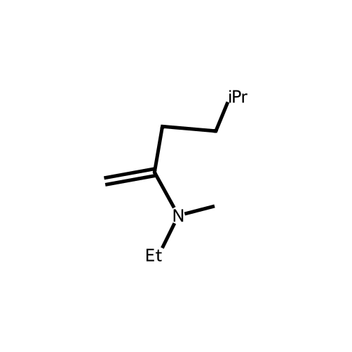 C=C(CCC(C)C)N(C)CC